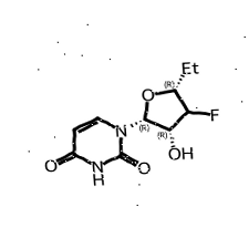 CC[C@H]1O[C@@H](n2ccc(=O)[nH]c2=O)[C@@H](O)C1F